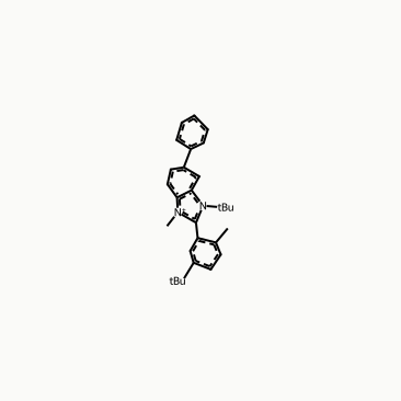 Cc1ccc(C(C)(C)C)cc1-c1n(C(C)(C)C)c2cc(-c3ccccc3)ccc2[n+]1C